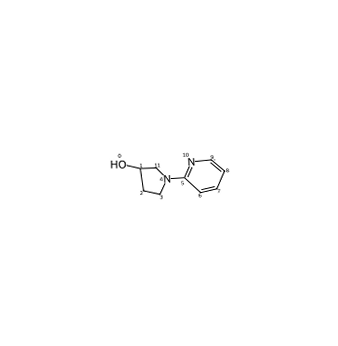 OC1CCN(c2ccc[c]n2)C1